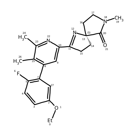 CCOc1ccc(F)c(-c2cc(C3=N[C@@]4(CC3)CCN(C)C4=O)nc(C)c2C)c1